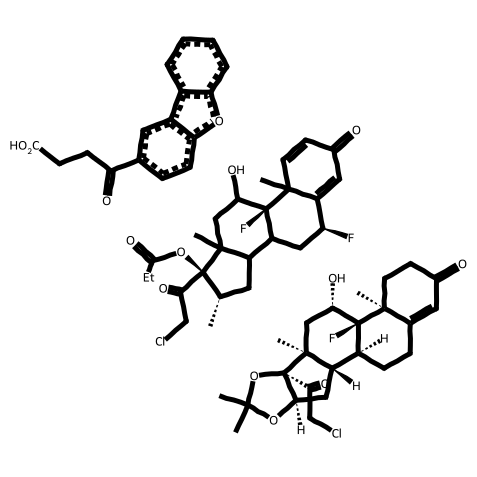 CC1(C)O[C@@H]2C[C@H]3[C@@H]4CCC5=CC(=O)CC[C@]5(C)[C@@]4(F)[C@@H](O)C[C@]3(C)[C@]2(C(=O)CCl)O1.CCC(=O)O[C@]1(C(=O)CCl)[C@@H](C)CC2C3C[C@H](F)C4=CC(=O)C=CC4(C)[C@@]3(F)C(O)CC21C.O=C(O)CCC(=O)c1ccc2oc3ccccc3c2c1